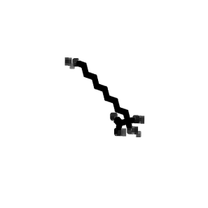 CCCCCCCCCCC(C)(O)C(=O)O